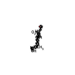 CC(c1ccc(-c2cncc(O)c2)cc1)N1CCN(c2ccc(C(=O)NS(=O)(=O)c3ccc(NCCSc4ccccc4)c([N+](=O)[O-])c3)cc2)CC1